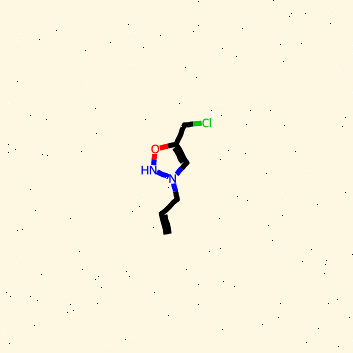 C=CCN1C=C(CCl)ON1